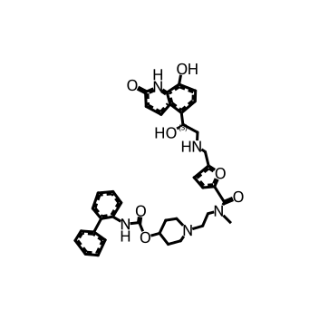 CN(CCN1CCC(OC(=O)Nc2ccccc2-c2ccccc2)CC1)C(=O)c1ccc(CNC[C@@H](O)c2ccc(O)c3[nH]c(=O)ccc23)o1